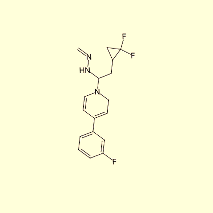 C=NNC(CC1CC1(F)F)N1C=CC(c2cccc(F)c2)=CC1